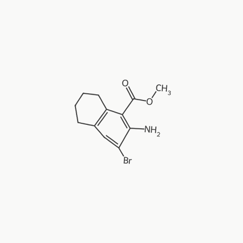 COC(=O)c1c(N)c(Br)cc2c1CCCC2